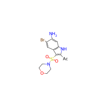 CC(=O)c1[nH]c2cc(N)c(Br)cc2c1S(=O)(=O)N1CCOCC1